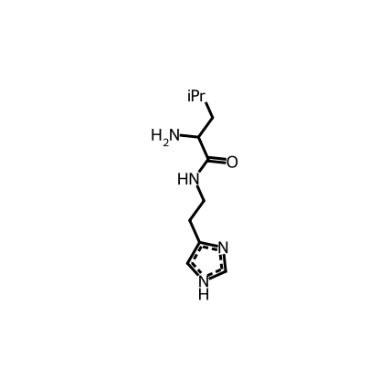 CC(C)CC(N)C(=O)NCCc1c[nH]cn1